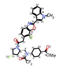 COC(=O)[C@H]1CC[C@H](N(C[C@@H]2C[C@H](F)CN2C(=O)Cc2ccc3nc(-c4cn(C)c5ccccc45)oc3c2F)C(=O)C(F)(F)F)CC1